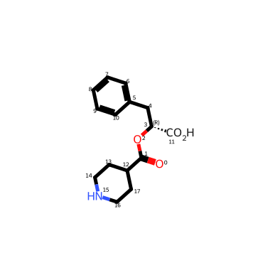 O=C(O[C@H](Cc1ccccc1)C(=O)O)C1CCNCC1